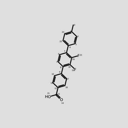 Cc1ccc(-c2ccc(-c3ccc(C(=O)O)cc3)c(F)c2F)cc1